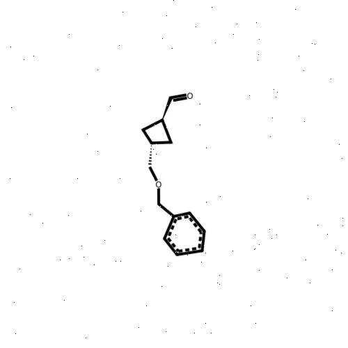 O=C[C@H]1C[C@H](COCc2ccccc2)C1